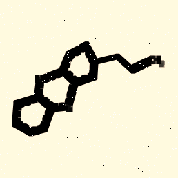 C=CCc1ccc2nc3ccccc3nc2c1